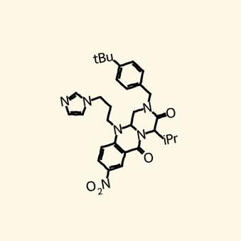 CC(C)C1C(=O)N(Cc2ccc(C(C)(C)C)cc2)CC2N(CCCn3ccnc3)c3ccc([N+](=O)[O-])cc3C(=O)N12